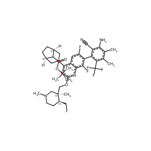 Cc1c(C)c(C(F)(F)F)c(-c2c(F)cc3c(N4C[C@H]5CC[C@@H](C4)N5C(=O)OC(C)(C)C)nc(OC[C@]4(C)CN(C)CC[C@@H]4CF)nc3c2F)c(C#N)c1N